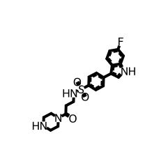 O=C(CCNS(=O)(=O)c1ccc(-c2c[nH]c3cc(F)ccc23)cc1)N1CCNCC1